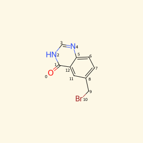 O=c1[nH]cnc2ccc(CBr)cc12